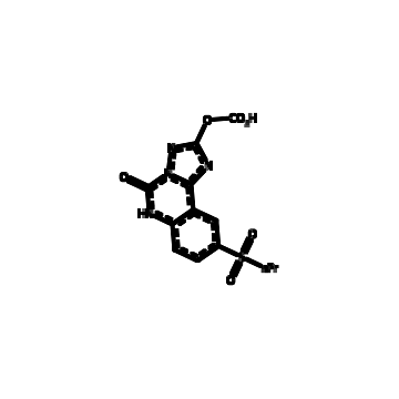 CCCS(=O)(=O)c1ccc2[nH]c(=O)n3nc(OC(=O)O)nc3c2c1